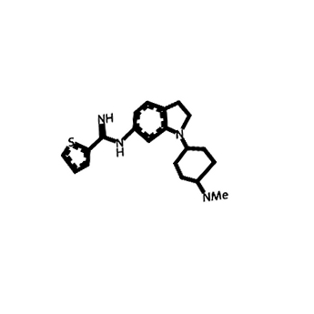 CNC1CCC(N2CCc3ccc(NC(=N)c4cccs4)cc32)CC1